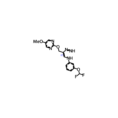 COc1cnc(OC/C(=C/Nc2cccc(OC(F)F)c2)N=N)nc1